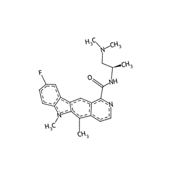 Cc1c2ccnc(C(=O)N[C@H](C)CN(C)C)c2cc2c3cc(F)ccc3n(C)c12